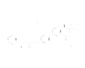 CCCNc1cc(-c2ccc(CCNC[C@@H](O)c3ccccc3)cc2)ccc1C(=O)NS(C)(=O)=O.Cl.Cl